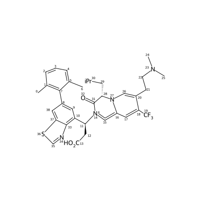 Cc1cccc(C)c1-c1cc([C@H](CC(=O)O)[N+]2=C=C3C=C(C(F)(F)F)C(CCN(C)C)=CN3[C@@H](CC(C)C)C2=O)c2ncsc2c1